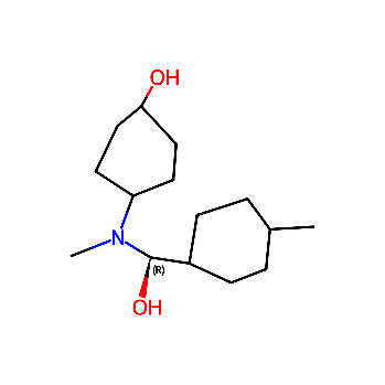 CC1CCC([C@@H](O)N(C)C2CCC(O)CC2)CC1